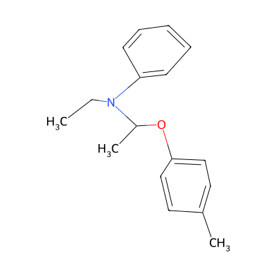 CCN(c1ccccc1)C(C)Oc1ccc(C)cc1